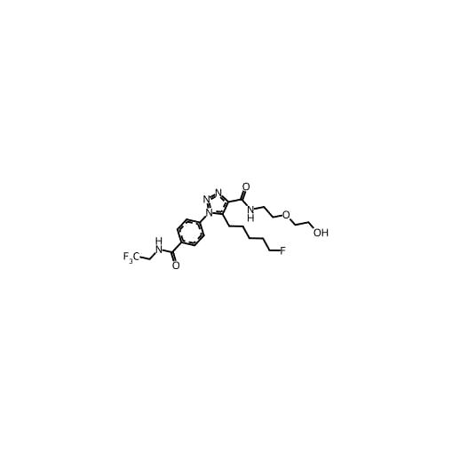 O=C(NCC(F)(F)F)c1ccc(-n2nnc(C(=O)NCCOCCO)c2CCCCCF)cc1